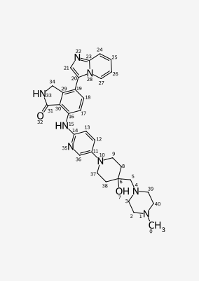 CN1CCN(CC2(O)CCN(c3ccc(Nc4ccc(-c5cnc6ccccn56)c5c4C(=O)NC5)nc3)CC2)CC1